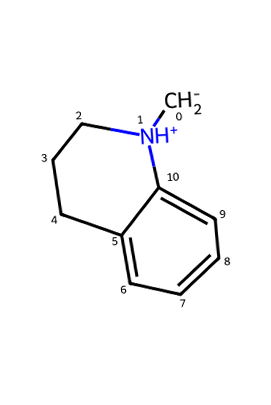 [CH2-][NH+]1CCCc2ccccc21